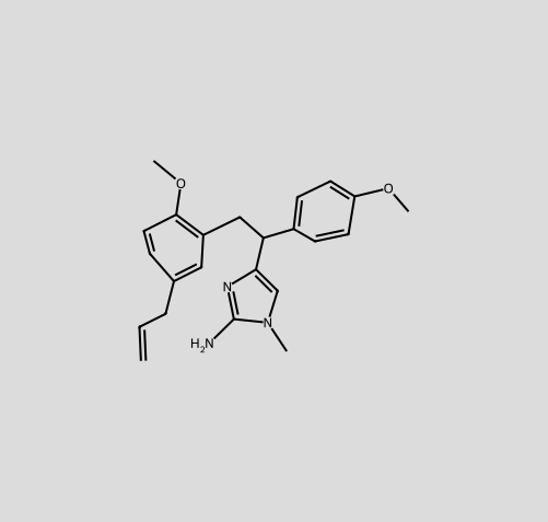 C=CCc1ccc(OC)c(CC(c2ccc(OC)cc2)c2cn(C)c(N)n2)c1